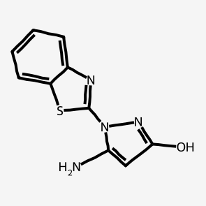 Nc1cc(O)nn1-c1nc2ccccc2s1